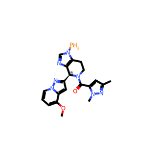 COc1cccn2nc([C@H]3c4ncn(P)c4CCN3C(=O)c3cc(C)nn3C)cc12